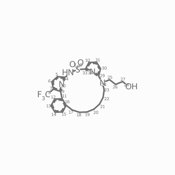 O=S1(=O)Nc2ccc(C(F)(F)F)c(n2)-c2ccccc2CCCCCCCN(CCCO)c2cccc1n2